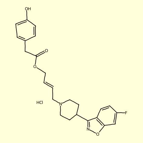 Cl.O=C(Cc1ccc(O)cc1)OCC=CCN1CCC(c2noc3cc(F)ccc23)CC1